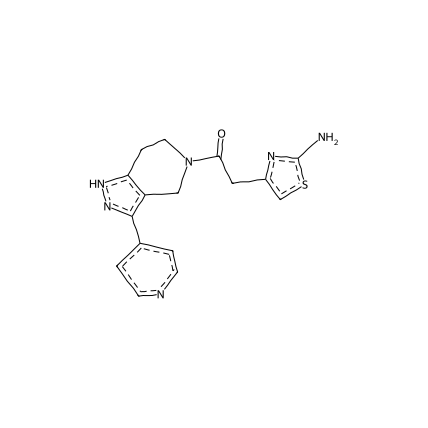 Nc1nc(CC(=O)N2CCc3[nH]nc(-c4ccncc4)c3C2)cs1